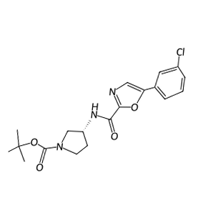 CC(C)(C)OC(=O)N1CC[C@@H](NC(=O)c2ncc(-c3cccc(Cl)c3)o2)C1